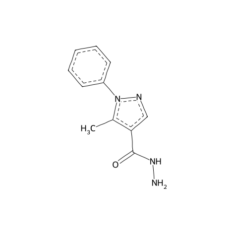 Cc1c(C(=O)NN)cnn1-c1ccccc1